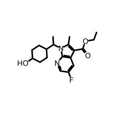 CCOC(=O)c1c(C)n(C(C)C2CCC(O)CC2)c2ncc(F)cc12